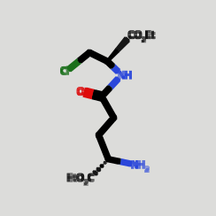 CCOC(=O)[C@H](CCl)NC(=O)CC[C@H](N)C(=O)OCC